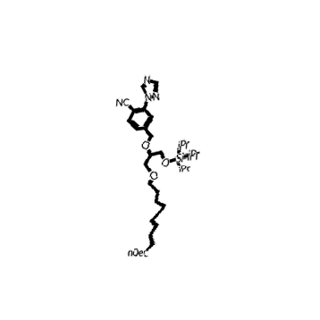 CCCCCCCCCCCCCCCCCCOCC(CO[Si](C(C)C)(C(C)C)C(C)C)OCc1ccc(C#N)c(-n2cncn2)c1